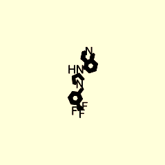 FC(F)(F)c1cccc(CN2CC[C@@H](Nc3cccc4cnccc34)C2)c1